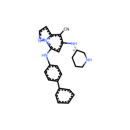 N#Cc1c(N[C@H]2CCCNC2)cc(Nc2ccc(-c3ccccc3)cc2)n2nccc12